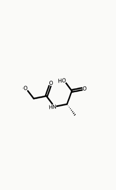 C[C@H](NC(=O)C[O])C(=O)O